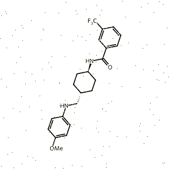 COc1ccc(NC[C@H]2CC[C@H](NC(=O)c3cccc(C(F)(F)F)c3)CC2)cc1